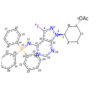 CC(=O)O[C@@H]1CCC[C@@H](n2nc(I)c3c(N=P(c4ccccc4)(c4ccccc4)c4ccccc4)ncnc32)C1